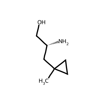 CC1(C[C@@H](N)CO)CC1